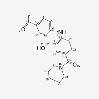 CC(=O)C1=CC=C(NC2=C(CO)C=C(C(=O)N3CCCCC3)CC2)CC1